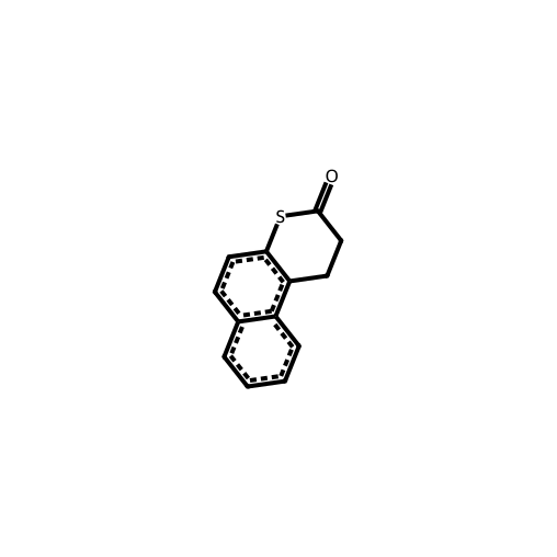 O=C1CCc2c(ccc3ccccc23)S1